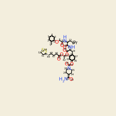 Cc1ccccc1OCC(=O)NC(CC(C)C)C(=O)NC(Cc1ccc(OC(=O)N2CCC(C(N)=O)CC2)cc1)C(=O)OC(C)OC(=O)CCCC[C@@H]1CCSS1